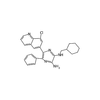 Nc1nc(-c2ccccc2)c(-c2cc(Cl)c3ncccc3c2)nc1NCC1CCCCC1